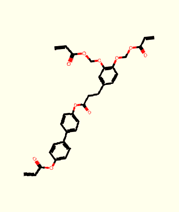 C=CC(=O)OCOc1ccc(CCC(=O)Oc2ccc(-c3ccc(OC(=O)C=C)cc3)cc2)cc1OCOC(=O)C=C